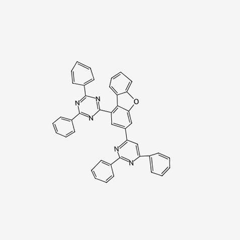 c1ccc(-c2cc(-c3cc(-c4nc(-c5ccccc5)nc(-c5ccccc5)n4)c4c(c3)oc3ccccc34)nc(-c3ccccc3)n2)cc1